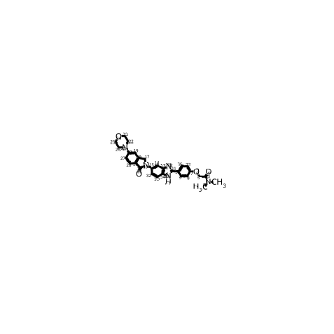 CN(C)C(=O)COc1ccc(-c2nc3cc(N4Cc5cc(N6CCOCC6)ccc5C4=O)ccc3[nH]2)cc1